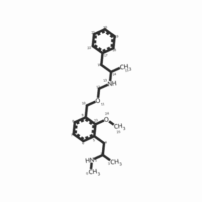 CNC(C)Cc1cccc(COCNC(C)Cc2ccccc2)c1OC